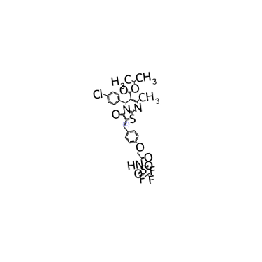 CC1=C(C(=O)OC(C)C)C(c2ccc(Cl)cc2)n2c(s/c(=C\c3ccc(OCC(=O)NS(=O)(=O)C(F)(F)F)cc3)c2=O)=N1